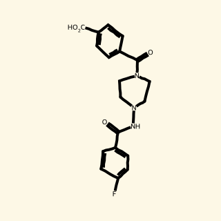 O=C(O)c1ccc(C(=O)N2CCN(NC(=O)c3ccc(F)cc3)CC2)cc1